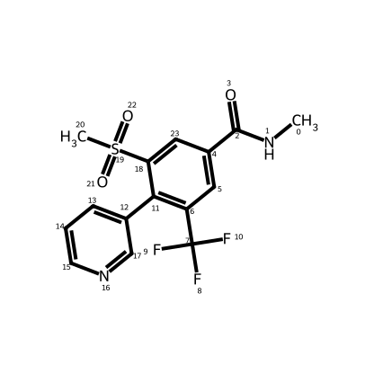 CNC(=O)c1cc(C(F)(F)F)c(-c2cccnc2)c(S(C)(=O)=O)c1